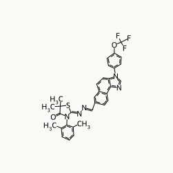 Cc1cccc(C)c1N1C(=O)C(C)(C)SC1=NN=Cc1ccc2c(ccc3c2ncn3-c2ccc(OC(F)(F)F)cc2)c1